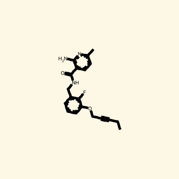 CCC#CCOc1cccc(CNC(=O)c2ccc(C)nc2N)c1F